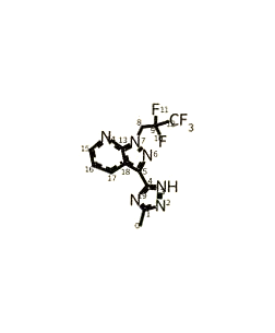 Cc1n[nH]c(-c2nn(CC(F)(F)C(F)(F)F)c3ncccc23)n1